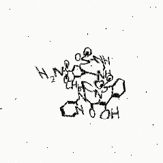 CN1C(C(=O)Nc2ccccn2)=C(O)c2ccccc2S1(=O)=O.NS(=O)(=O)c1cc2c(cc1Cl)NCNS2(=O)=O